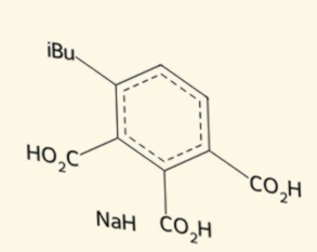 CCC(C)c1ccc(C(=O)O)c(C(=O)O)c1C(=O)O.[NaH]